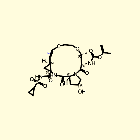 C=C(C)OC(=O)N[C@@H]1C(=O)N2C[C@H](O)C[C@H]2C(=O)N[C@]2(C(=O)NS(=O)(=O)C3CC3)C[C@H]2/C=C\CCCO[C@@H]1C